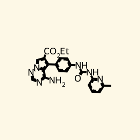 CCOC(=O)c1cn2ncnc(N)c2c1-c1ccc(NC(=O)Nc2cccc(C)n2)cc1